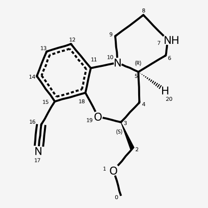 COC[C@@H]1C[C@@H]2CNCCN2c2cccc(C#N)c2O1